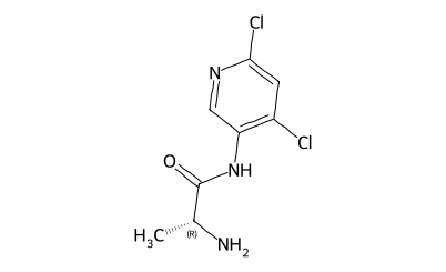 C[C@@H](N)C(=O)Nc1cnc(Cl)cc1Cl